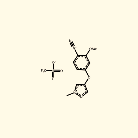 COc1cc(Oc2cnn(C)c2)ccc1[N+]#N.O=S(=O)([O-])C(F)(F)F